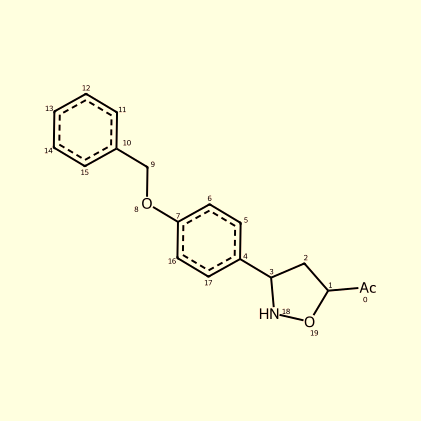 CC(=O)C1CC(c2ccc(OCc3ccccc3)cc2)NO1